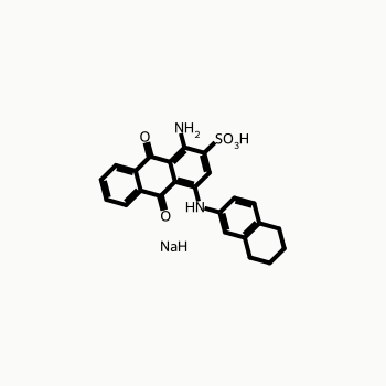 Nc1c(S(=O)(=O)O)cc(Nc2ccc3c(c2)CCCC3)c2c1C(=O)c1ccccc1C2=O.[NaH]